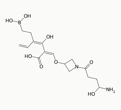 C=C/C(CCB(O)O)=C(O)\C(=C\OC1CN(C(=O)CCC(N)O)C1)C(=O)O